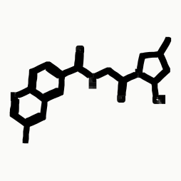 Cc1cnc2ccc(C(=O)NCC(=O)N3CC(C)CC3C#N)cc2c1